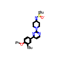 CC(C)Oc1ccc(-c2ccnc(N3CCC(=N[S+]([O-])C(C)(C)C)CC3)n2)cc1C(C)(C)C